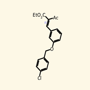 CCOC(=O)/C(=C/c1cccc(OCc2ccc(Cl)cc2)c1)C(C)=O